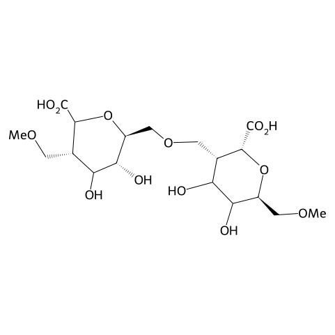 COC[C@@H]1C(C(=O)O)O[C@@H](COC[C@H]2C(O)C(O)[C@H](COC)O[C@H]2C(=O)O)[C@H](O)C1O